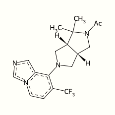 CC(=O)N1C[C@@H]2CN(c3c(C(F)(F)F)ccn4cncc34)C[C@@H]2C1(C)C